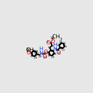 CCOC(=O)CCc1c(NC(=O)c2ccccc2)cccc1OC(=O)NCc1ccc(OC)cc1